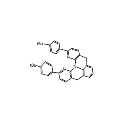 CC(C)(C)c1ccc(-c2ccc3c(n2)N2c4nc(-c5ccc(C(C)(C)C)cc5)ccc4Cc4cccc(c42)C3)cc1